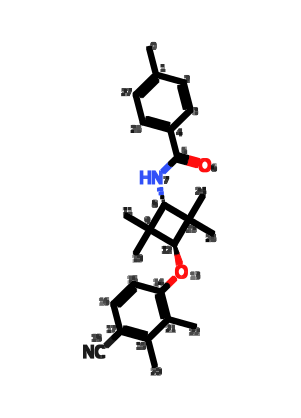 Cc1ccc(C(=O)N[C@H]2C(C)(C)[C@H](Oc3ccc(C#N)c(C)c3C)C2(C)C)cc1